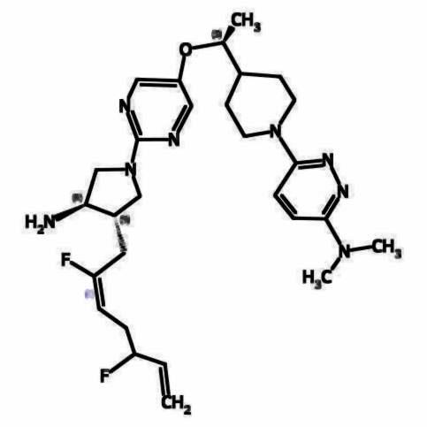 C=CC(F)C/C=C(/F)C[C@H]1CN(c2ncc(O[C@@H](C)C3CCN(c4ccc(N(C)C)nn4)CC3)cn2)C[C@@H]1N